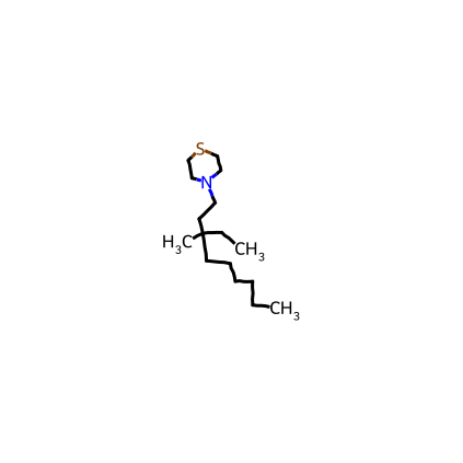 CCCCCCC(C)(CC)CCN1CCSCC1